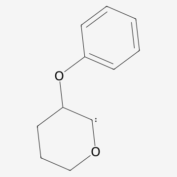 [C]1OCCCC1Oc1ccccc1